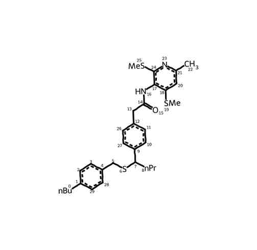 CCCCc1ccc(CSC(CCC)c2ccc(CC(=O)Nc3c(SC)cc(C)nc3SC)cc2)cc1